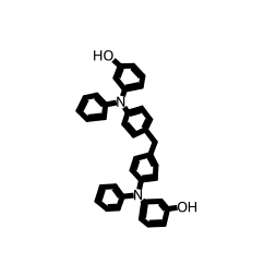 Oc1cccc(N(c2ccccc2)c2ccc(Cc3ccc(N(c4ccccc4)c4cccc(O)c4)cc3)cc2)c1